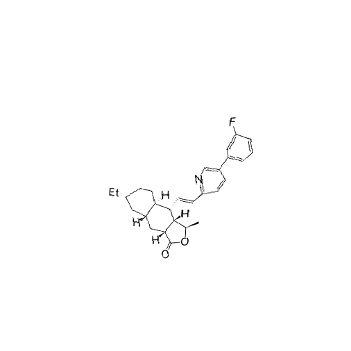 CC[C@@H]1CC[C@@H]2[C@@H](C1)C[C@H]1C(=O)O[C@H](C)[C@H]1[C@H]2/C=C/c1ccc(-c2cccc(F)c2)cn1